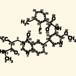 CNC(=O)[C@@H](C)Cn1cnc2ccc(-c3cnc(OC)c(NS(=O)(=O)c4cccc(C)c4F)c3)cc2c1=O